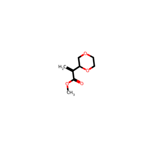 C=C(C(=O)OC)C1COCCO1